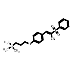 C[Si](C)(C)CCCOc1ccc(/C=C(\C#N)S(=O)(=O)c2ccccc2)cc1